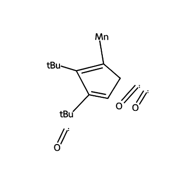 CC(C)(C)C1=CC[C]([Mn])=C1C(C)(C)C.[C]=O.[C]=O.[C]=O